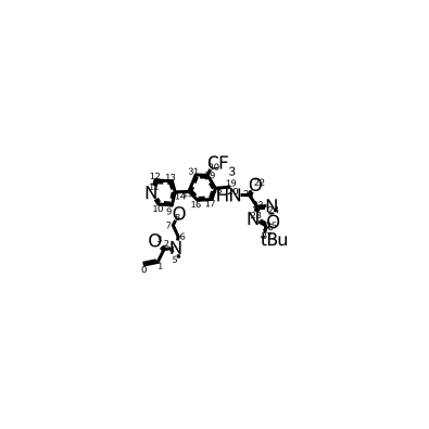 C=CC(=O)N(C)CCOc1cnccc1-c1ccc(CNC(=O)c2noc(C(C)(C)C)n2)c(C(F)(F)F)c1